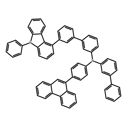 c1ccc(-c2cccc(N(c3ccc(-c4cc5ccccc5c5ccccc45)cc3)c3cccc(-c4cccc(-c5cccc6c5c5ccccc5n6-c5ccccc5)c4)c3)c2)cc1